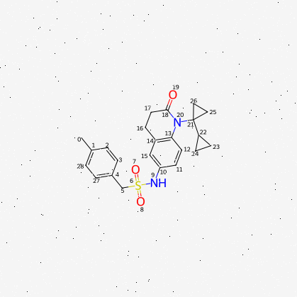 Cc1ccc(CS(=O)(=O)Nc2ccc3c(c2)CCC(=O)N3C2(C3CC3)CC2)cc1